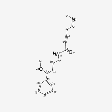 C/N=C\CC#CC(=O)NCCCC(OC)c1ccccc1